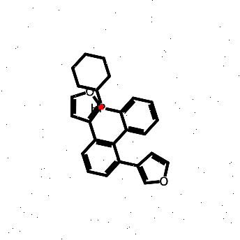 c1ccc(-c2c(-c3ccoc3)cccc2-c2ccoc2)c(PC2CCCCC2)c1